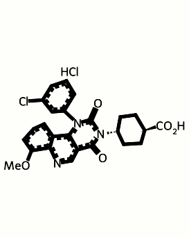 COc1cccc2c1ncc1c(=O)n([C@H]3CC[C@H](C(=O)O)CC3)c(=O)n(-c3cccc(Cl)c3)c12.Cl